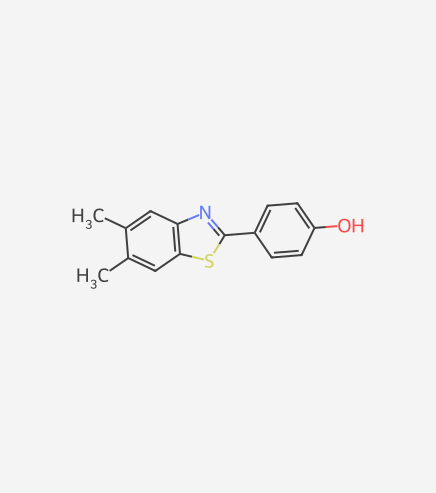 Cc1cc2nc(-c3ccc(O)cc3)sc2cc1C